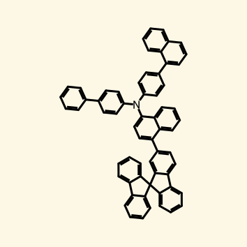 c1ccc(-c2ccc(N(c3ccc(-c4cccc5ccccc45)cc3)c3ccc(-c4ccc5c(c4)C4(c6ccccc6-c6ccccc64)c4ccccc4-5)c4ccccc34)cc2)cc1